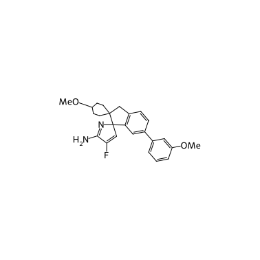 COc1cccc(-c2ccc3c(c2)C2(C=C(F)C(N)=N2)C2(CCC(OC)CC2)C3)c1